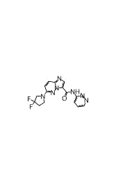 O=C(Nc1cccnn1)c1cnc2ccc(N3CCC(F)(F)C3)nn12